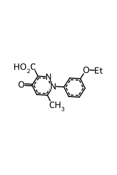 CCOc1cccc(-n2nc(C(=O)O)c(=O)cc2C)c1